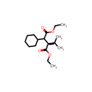 CCOC(=O)C(=C(C)C)C(C(=O)OCC)C1CCCCC1